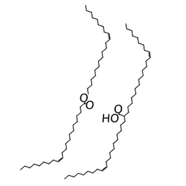 CCCCCCCC/C=C\CCCCCCCCCCCCC(CCCCCCCCCC/C=C\CCCCCCCC)C(=O)O.CCCCCCCC/C=C\CCCCCCCCCCCCOC(=O)CCCCCCCCCCC/C=C\CCCCCCCC